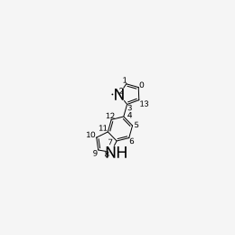 C1=C[N]C(c2ccc3[nH]ccc3c2)=C1